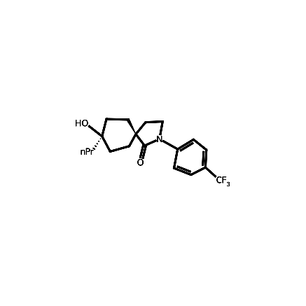 CCC[C@]1(O)CC[C@]2(CCN(c3ccc(C(F)(F)F)cc3)C2=O)CC1